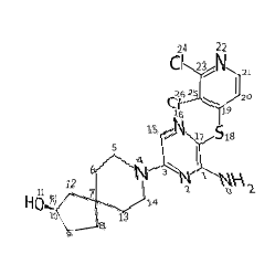 Nc1nc(N2CCC3(CC[C@@H](O)C3)CC2)cnc1Sc1ccnc(Cl)c1Cl